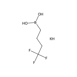 OB(O)CCCC(F)(F)F.[KH]